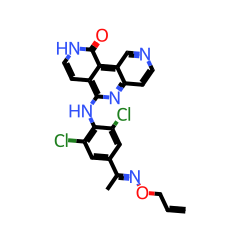 C=CCON=C(C)c1cc(Cl)c(Nc2nc3ccncc3c3c(=O)[nH]ccc23)c(Cl)c1